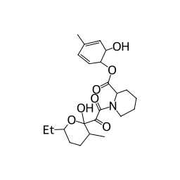 CCC1CCC(C)C(O)(C(=O)C(=O)N2CCCCC2C(=O)OC2C=CC(C)=CC2O)O1